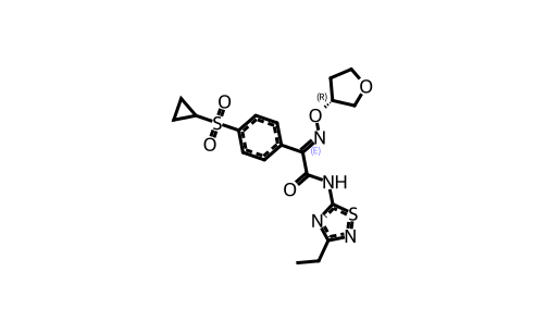 CCc1nsc(NC(=O)/C(=N/O[C@@H]2CCOC2)c2ccc(S(=O)(=O)C3CC3)cc2)n1